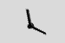 CCCCCCCCCCCCCCCC(=O)C1CCCCC1C(=O)CCCCCCCCCCCCCCC